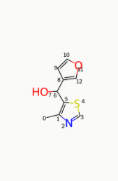 Cc1ncsc1C(O)c1ccoc1